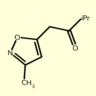 Cc1cc(CC(=O)C(C)C)on1